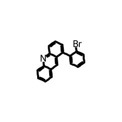 Brc1ccccc1-c1cccc2nc3ccccc3cc12